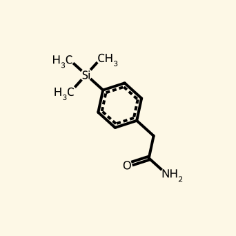 C[Si](C)(C)c1ccc(CC(N)=O)cc1